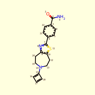 NC(=O)c1ccc(-c2nc3c(s2)CCN(C2=CC=C2)CC3)cc1